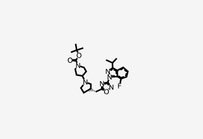 CC(C)c1nn(-c2noc(C[C@@H]3CCN(C4CCN(C(=O)OC(C)(C)C)CC4)C3)n2)c2c(F)cccc12